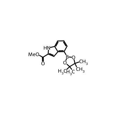 COC(=O)c1cc2c(B3OC(C)(C)C(C)(C)O3)cccc2[nH]1